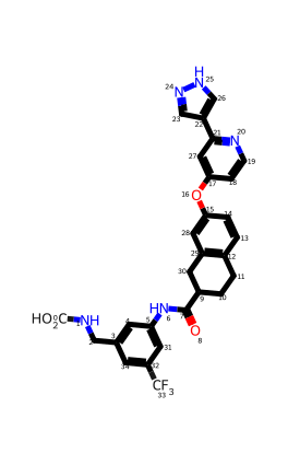 O=C(O)NCc1cc(NC(=O)C2CCc3ccc(Oc4ccnc(-c5cn[nH]c5)c4)cc3C2)cc(C(F)(F)F)c1